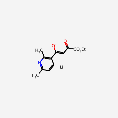 CCOC(=O)C(=O)C=C([O-])c1ccc(C(F)(F)F)nc1C.[Li+]